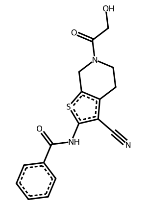 N#Cc1c(NC(=O)c2ccccc2)sc2c1CCN(C(=O)CO)C2